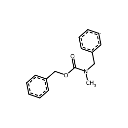 CN(Cc1c[c]ccc1)C(=O)OCc1ccccc1